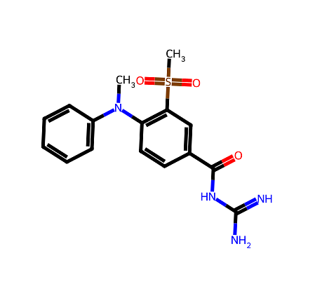 CN(c1ccccc1)c1ccc(C(=O)NC(=N)N)cc1S(C)(=O)=O